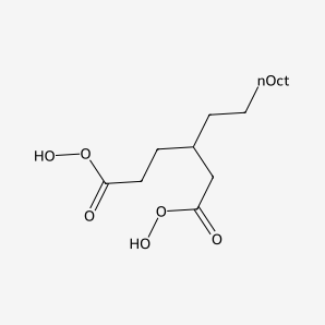 CCCCCCCCCCC(CCC(=O)OO)CC(=O)OO